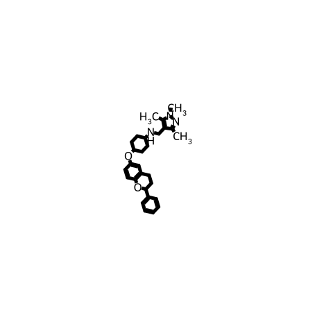 Cc1nn(C)c(C)c1CNC1CCC(Oc2ccc3c(c2)CCC(c2ccccc2)O3)CC1